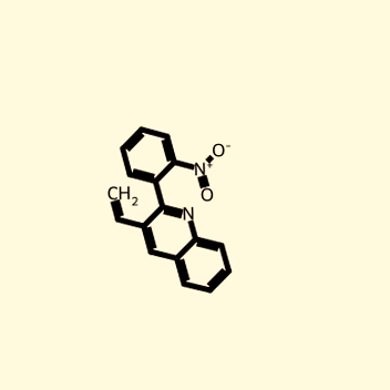 C=Cc1cc2ccccc2nc1-c1ccccc1[N+](=O)[O-]